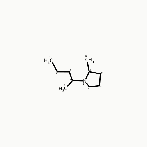 CCCC(C)N1CCCC1C